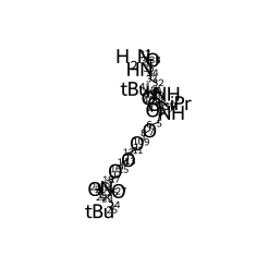 CC(C)[C@H](NC(=O)CCOCCOCCOCCOCCN1C(=O)CC(CC(C)(C)C)C1=O)C(=O)N[C@@H](CCCNC(N)=O)C(=O)C(C)(C)C